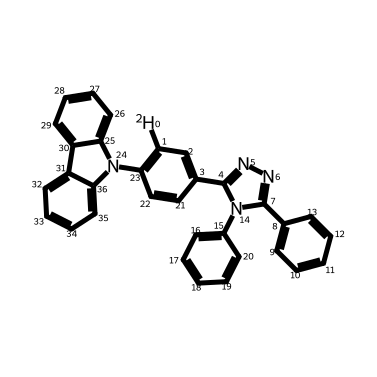 [2H]c1cc(-c2nnc(-c3ccccc3)n2-c2ccccc2)ccc1-n1c2ccccc2c2ccccc21